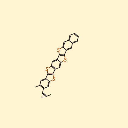 C/C=C\c1cc2sc3c4cc5sc6c7cc8ccccc8cc7sc6c5cc4sc3c2cc1C